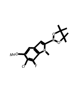 COc1cc2cc(B3OC(C)(C)C(C)(C)O3)n(C)c2c(F)c1Cl